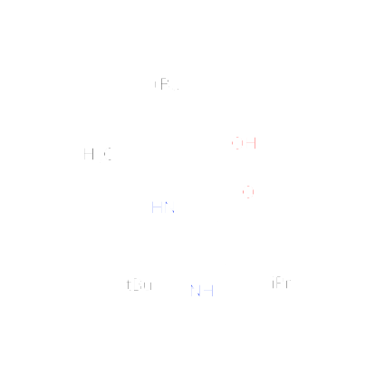 CC(C)C(NC(C)(C)C)C(=O)NC(C)C(O)C(C)(C)C